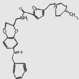 CN1CCN(Cc2ccc(C(=O)NCC3COc4ccc(NCc5ccccc5)cc4O3)o2)CC1